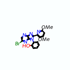 COC1=NC(c2nc3ncc(Br)nc3n2-c2c(O)cccc2OC)=C=C=C1